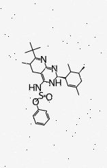 CC1=CC([C@@H]2N=C3N=C(C(C)(C)C)C(C)CC3=C(NS(=O)Oc3ccccc3)N2)C(C)[C@@H](C)C1